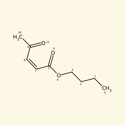 CCCCOC(=O)/C=C\C(C)=O